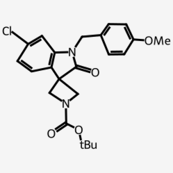 COc1ccc(CN2C(=O)C3(CN(C(=O)OC(C)(C)C)C3)c3ccc(Cl)cc32)cc1